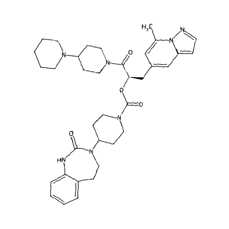 Cc1cc(C[C@@H](OC(=O)N2CCC(N3CCc4ccccc4NC3=O)CC2)C(=O)N2CCC(N3CCCCC3)CC2)cc2ccnn12